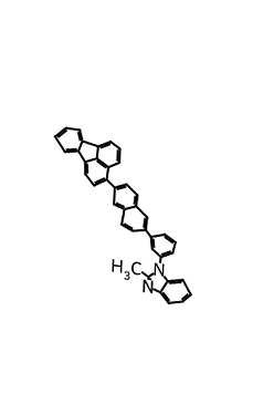 Cc1nc2ccccc2n1-c1cccc(-c2ccc3cc(-c4ccc5c6c(cccc46)-c4ccccc4-5)ccc3c2)c1